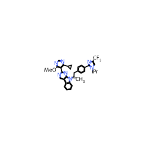 COc1ncnc(C2CC2)c1-c1ncc2c3ccccc3n([C@@H](C)Cc3ccc(-c4nc(C(F)(F)F)cn4C(C)C)cc3)c2n1